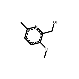 COc1ccc(C)nc1CO